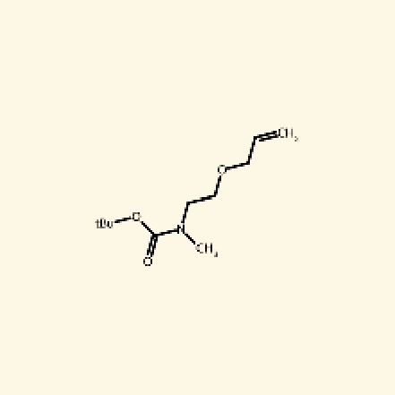 C=CCOCCN(C)C(=O)OC(C)(C)C